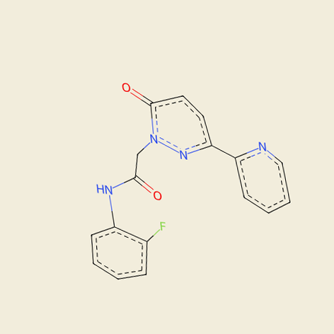 O=C(Cn1nc(-c2ccccn2)ccc1=O)Nc1ccccc1F